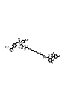 Cc1ncsc1-c1ccc(CNC(=O)[C@@H]2C[C@@H](O)CN2C(=O)[C@@H](NC(=O)CCCCCCCCNCCCONC(=O)c2ccc(F)c(F)c2Nc2ccc(I)cc2F)C(C)(C)C)cc1